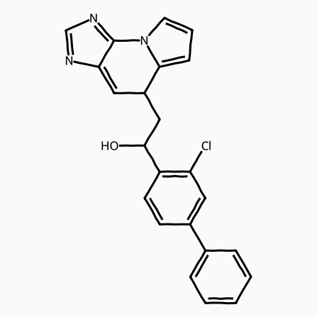 OC(CC1C=C2N=CN=C2n2cccc21)c1ccc(-c2ccccc2)cc1Cl